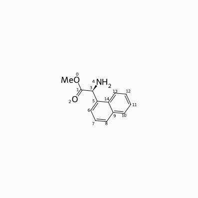 COC(=O)[C@@H](N)c1cccc2ccccc12